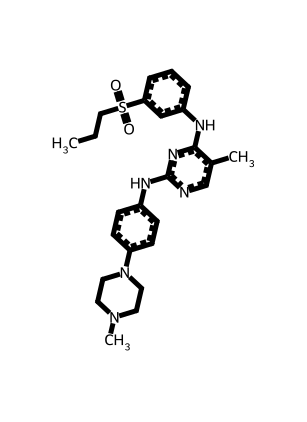 CCCS(=O)(=O)c1cccc(Nc2nc(Nc3ccc(N4CCN(C)CC4)cc3)ncc2C)c1